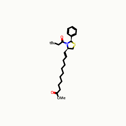 COC(=O)CCCCCCCC/C=C/[C@@H]1CS[C@H](c2ccccc2)N1C(=O)CC(C)(C)C